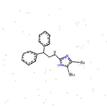 CC(C)(C)c1nc(BCC(c2ccccc2)c2ccccc2)[nH]c1C(C)(C)C